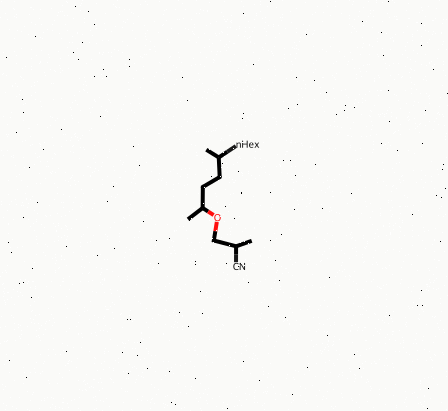 CCCCCCC(C)CCC(C)OCC(C)C#N